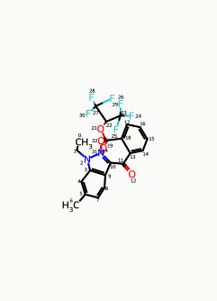 CCn1c2cc(C)ccc2c(C(=O)c2ccccc2C(=O)OC(C(F)(F)F)C(F)(F)F)[n+]1[O-]